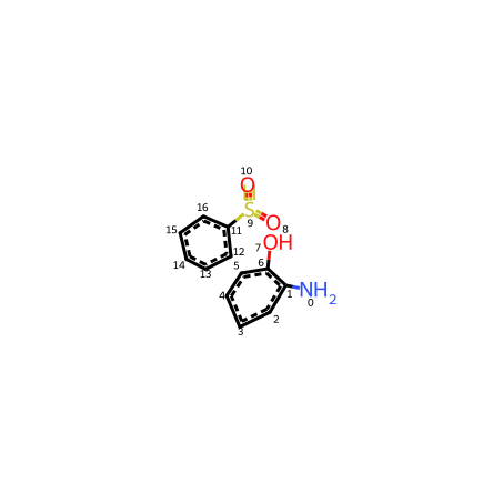 Nc1ccccc1O.O=[SH](=O)c1ccccc1